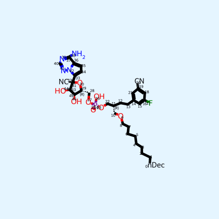 CCCCCCCCCCCCCCCCCCOC[C@@H](CCc1cc(F)cc(C#N)c1)COP(=O)(O)OC[C@H]1O[C@@](C#N)(c2ccc3c(N)ncnn23)[C@H](O)[C@@H]1O